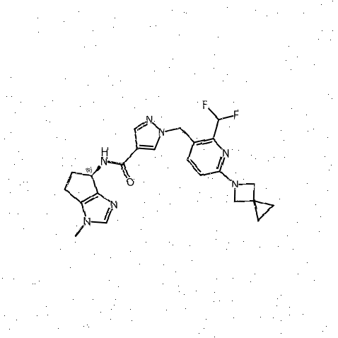 Cn1cnc2c1CC[C@H]2NC(=O)c1cnn(Cc2ccc(N3CC4(CC4)C3)nc2C(F)F)c1